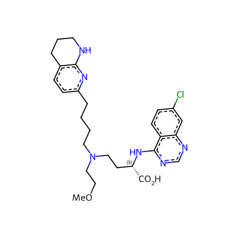 COCCN(CCCCc1ccc2c(n1)NCCC2)CC[C@H](Nc1ncnc2cc(Cl)ccc12)C(=O)O